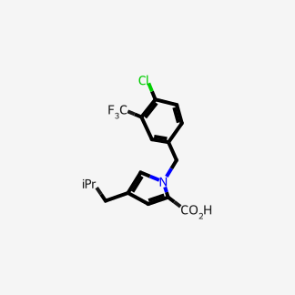 CC(C)Cc1cc(C(=O)O)n(Cc2ccc(Cl)c(C(F)(F)F)c2)c1